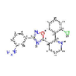 Nc1cccc(-c2noc(-c3cccnc3-c3ccccc3Cl)n2)c1